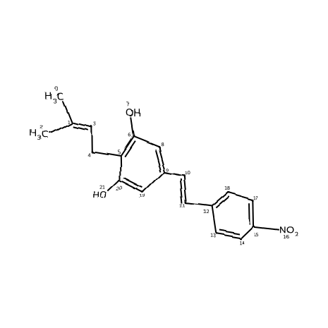 CC(C)=CCc1c(O)cc(C=Cc2ccc([N+](=O)[O-])cc2)cc1O